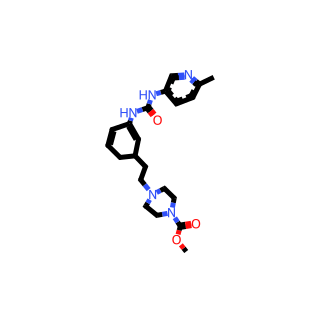 COC(=O)N1CCN(CCC2C=C(NC(=O)Nc3ccc(C)nc3)C=CC2)CC1